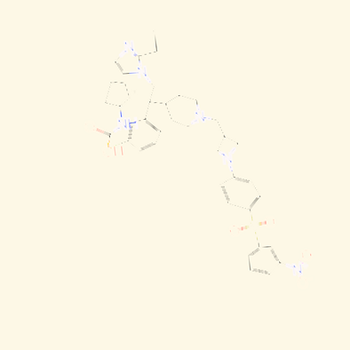 CCc1nccn1CC(c1cccc(F)c1)(C1CCN(CC2CN(c3ccc(S(=O)(=O)c4cccc([N+](=O)[O-])c4)cc3)C2)CC1)[C@H]1CCC[C@@H]1NC(=O)O